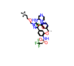 C[C@H](Oc1cc(-c2nn(COCC[Si](C)(C)C)c(Nc3cnccn3)c2C(N)=O)ccc1NS(=O)(=O)CC(F)(F)F)c1cccc(Cl)c1